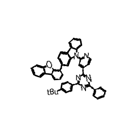 CC(C)(C)c1ccc(-c2nc(-c3ccccc3)nc(-c3ccnc(-n4c5ccccc5c5ccc(-c6cccc7c6oc6ccccc67)cc54)c3)n2)cc1